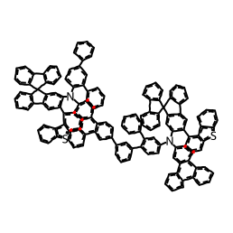 c1ccc(-c2ccc(N(c3ccc4c5ccc(-c6cccc(-c7ccc(N(c8ccc9c%10ccccc%10c%10ccccc%10c9c8)c8cc9c(cc8-c8cccc%10sc%11ccccc%11c8%10)-c8ccccc8C98c9ccccc9-c9ccccc98)cc7-c7ccccc7)c6)cc5c5ccccc5c4c3)c3cc4c(cc3-c3cccc5sc6ccccc6c35)-c3ccccc3C43c4ccccc4-c4ccccc43)c(-c3ccccc3)c2)cc1